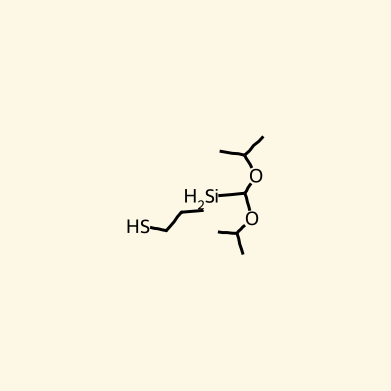 CC(C)OC(OC(C)C)[SiH2]CCCS